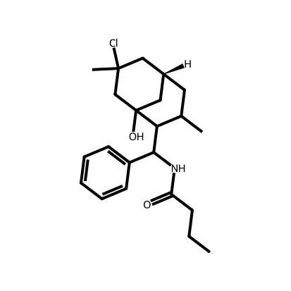 CCCC(=O)NC(c1ccccc1)C1C(C)C[C@H]2CC(C)(Cl)CC1(O)C2